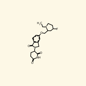 CCN1CCC(F)CC1COc1ccc2c(c1)CN(C1CCC(=O)NC1=O)C2=O